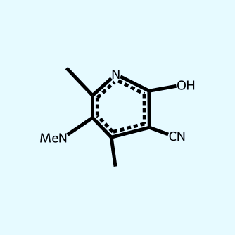 CNc1c(C)nc(O)c(C#N)c1C